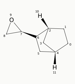 C1C[C@@H]2C[C@H]1CC2[C@H]1CO1